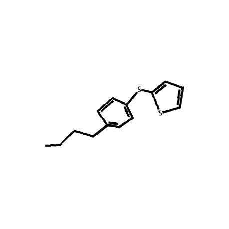 CCCCc1ccc(Sc2cccs2)cc1